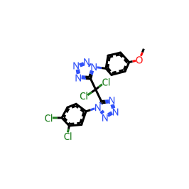 COc1ccc(-n2nnnc2C(Cl)(Cl)c2nnnn2-c2ccc(Cl)c(Cl)c2)cc1